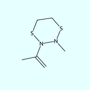 C=C(C)N1SCCSN1C